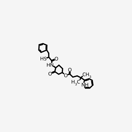 CC(C)(CCC(=O)OC1CCC(NC(=O)C(S)Cc2ccccc2)C(=O)C1)C1=CC=CC=CN1